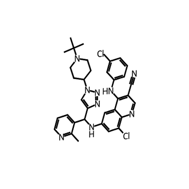 Cc1ncccc1C(Nc1cc(Cl)c2ncc(C#N)c(Nc3cccc(Cl)c3)c2c1)c1cn(C2CCN(C(C)(C)C)CC2)nn1